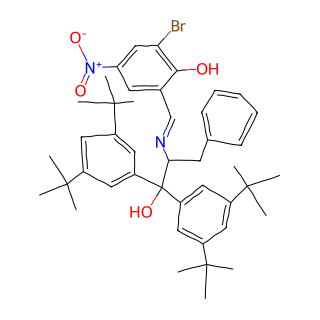 CC(C)(C)c1cc(C(C)(C)C)cc(C(O)(c2cc(C(C)(C)C)cc(C(C)(C)C)c2)C(Cc2ccccc2)N=Cc2cc([N+](=O)[O-])cc(Br)c2O)c1